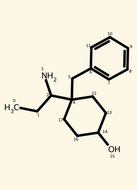 CCC(N)C1(Cc2ccccc2)CCC(O)CC1